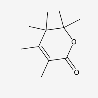 CC1=C(C)C(C)(C)C(C)(C)OC1=O